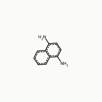 Nc1ccc(N)c2ccccc12